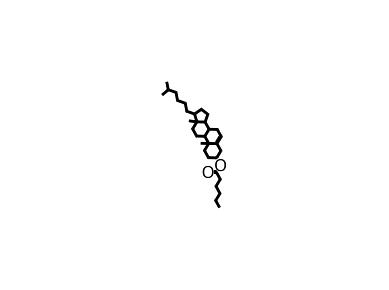 CCCCCC(=O)OC1CCC2(C)C(=CCC3C2CCC2(C)C(CCCCC(C)C)CCC32)C1